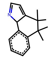 CC1(C)C2=CC=NC2c2ccccc2C1(C)C